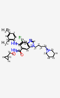 Bc1ccc(Nc2c(C(=O)NOCC3CC3)cc3c(ncn3CCCCN3CCCCC3)c2F)c(C)c1